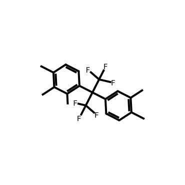 Cc1ccc(C(c2ccc(C)c(C)c2C)(C(F)(F)F)C(F)(F)F)cc1C